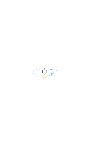 Cc1c(CNC(=O)C(F)(F)F)c(C)c(S(=O)(=O)Cl)c(C)c1CNC(=O)C(F)(F)F